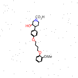 COc1ccccc1OCCCCOc1ccc(C2CCN(C(=O)O)CC2O)cc1